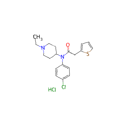 CCN1CCC(N(C(=O)Cc2cccs2)c2ccc(Cl)cc2)CC1.Cl